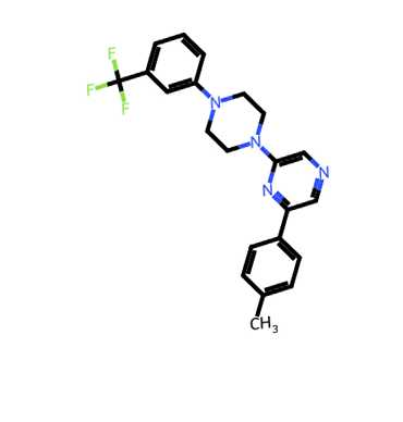 Cc1ccc(-c2cncc(N3CCN(c4cccc(C(F)(F)F)c4)CC3)n2)cc1